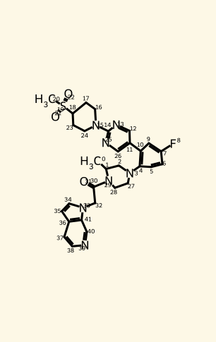 CC1CN(c2ccc(F)cc2-c2cnc(N3CCC(S(C)(=O)=O)CC3)nc2)CCN1C(=O)Cn1ccc2ccncc21